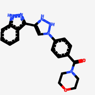 O=C(c1ccc(N2C=C(c3n[nH]c4ccccc34)NN2)cc1)N1CCOCC1